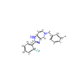 Cc1cccc(CN2C=Cc3[nH]c(-c4ccccc4F)nc3C2)c1